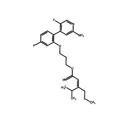 CSC/C(=C/C(=N)OCCCOc1cc(F)ccc1-c1cc(N)ncc1F)C(C)C